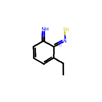 CCC1=CC=CC(=N)/C1=N\S